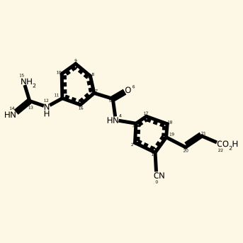 N#Cc1cc(NC(=O)c2cccc(NC(=N)N)c2)ccc1C=CC(=O)O